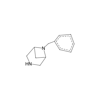 c1ccc(CN2C3CNCC2C3)cc1